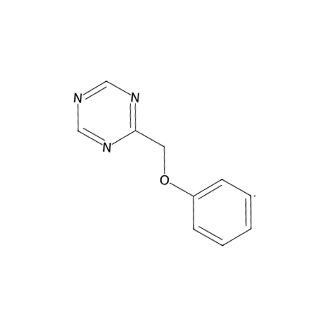 [c]1cccc(OCc2ncncn2)c1